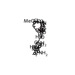 COc1cc2cc(c1Cl)N(C)C(=O)C[C@H](OC(=O)C(C)N(C)C(=O)CCS[C@@H]1CC(=O)N(CC3CCC(C(=O)NCCCC[C@H](N)C(=O)NCCNc4ncc(-c5cc(C)cc(F)c5)c(N5CCC(N)CC5)c4-c4nc5ccc(Cl)cc5[nH]4)CC3)C1=O)C1(C)CC(C)(O1)C1C[C@](O)(C/C=C/C=C(\C)C2)NC(=O)O1